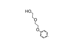 OCCOCCOc1cc[c]cc1